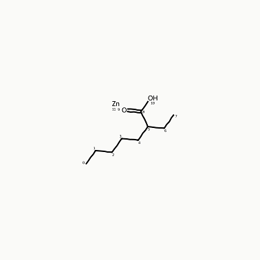 CCCCCC(CC)C(=O)O.[Zn]